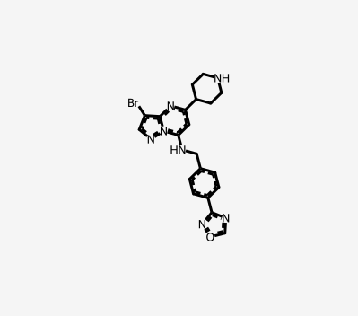 Brc1cnn2c(NCc3ccc(-c4ncon4)cc3)cc(C3CCNCC3)nc12